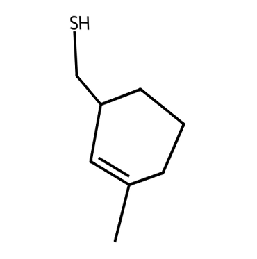 CC1=CC(CS)CCC1